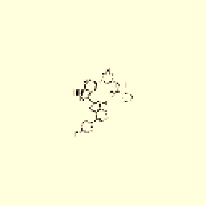 O=C(Nc1cncc(-c2cnc3[nH]nc(-c4nc5c(-c6ccc(F)cc6)cccc5[nH]4)c3c2)c1)C1CCCC1